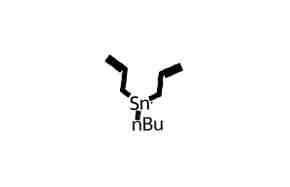 C=C[CH2][Sn]([CH2]C=C)[CH2]CCC